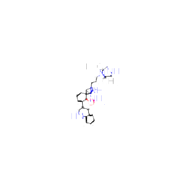 CC1CNCC(C)N1CCCCCC1(C(=N)N)C=CC=C(C2CNc3ccccc3C2)C1=O